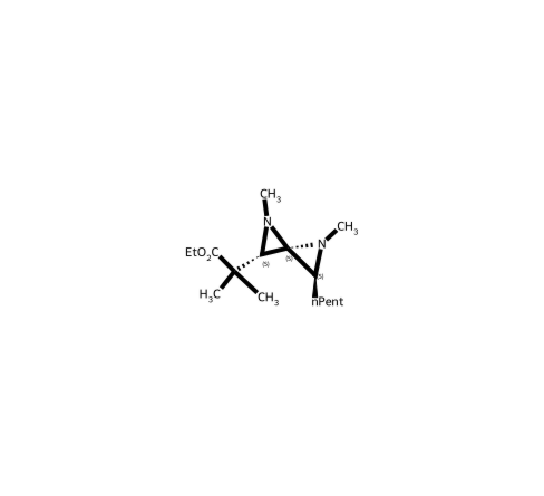 CCCCC[C@@H]1N(C)[C@@]12[C@H](C(C)(C)C(=O)OCC)N2C